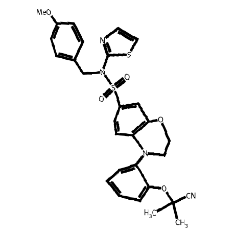 COc1ccc(CN(c2nccs2)S(=O)(=O)c2ccc3c(c2)OCCN3c2ccccc2OC(C)(C)C#N)cc1